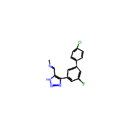 C/N=C/c1[nH]nnc1-c1cc(F)cc(-c2ccc(Cl)cc2)c1